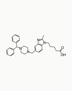 Cc1nc2cc(CN3CCN(C(c4ccccc4)c4ccccc4)CC3)ccc2n1CCCCC(=O)O